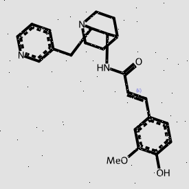 COc1cc(/C=C/C(=O)NC2C3CCN(CC3)C2Cc2cccnc2)ccc1O